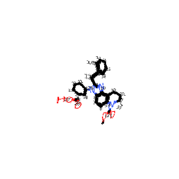 COC(=O)N1c2ccc3c(nc(Cc4ccccc4)n3[C@@H]3CCC[C@@H](C(=O)O)C3)c2CC[C@@H]1C